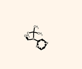 CC(C)(C)N(C=O)c1cnccn1